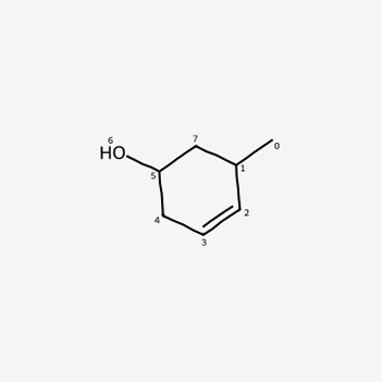 CC1C=CCC(O)C1